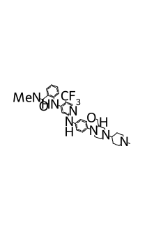 CNC(=O)c1ccccc1Nc1cc(Nc2ccc3c(c2)OC[C@H]2CN(C4CCN(C)CC4)CCN32)ncc1C(F)(F)F